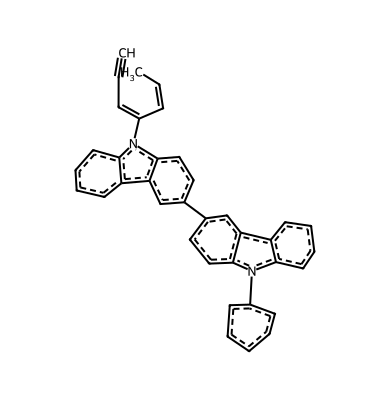 C#C/C=C(\C=C/C)n1c2ccccc2c2cc(-c3ccc4c(c3)c3ccccc3n4-c3ccccc3)ccc21